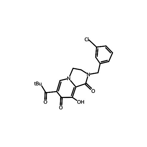 CC(C)(C)C(=O)c1cn2c(c(O)c1=O)C(=O)N(Cc1cccc(Cl)c1)CC2